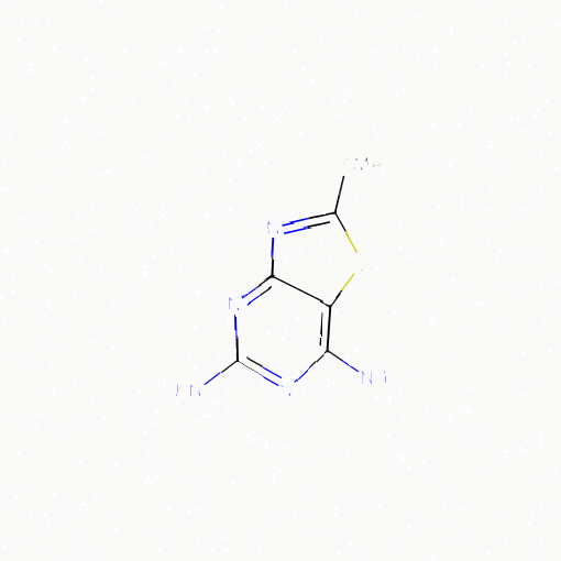 CSc1nc2nc(N)nc(N)c2s1